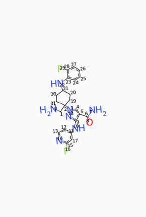 NCC1(n2cc(C(N)=O)c(Nc3ccnc(F)c3)n2)CCC(Nc2ccccc2F)CC1